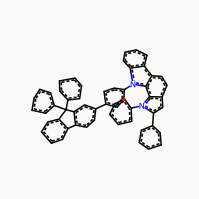 c1ccc(-c2cc3ccc4c5ccccc5n(-c5ccc(-c6ccc7c(c6)C(c6ccccc6)(c6ccccc6)c6ccccc6-7)cc5)c4c3n2-c2ccccc2)cc1